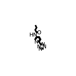 CCCC(=O)Nc1ccc(-c2nncnn2)nc1